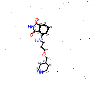 O=C1NC(=O)c2c(NCCCOCC3CCNCC3)cccc21